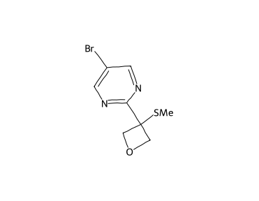 CSC1(c2ncc(Br)cn2)COC1